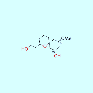 CO[C@H]1C[C@H](O)CC2(CCCC(CCO)O2)C1